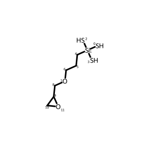 S[Si](S)(S)CCCOCC1CO1